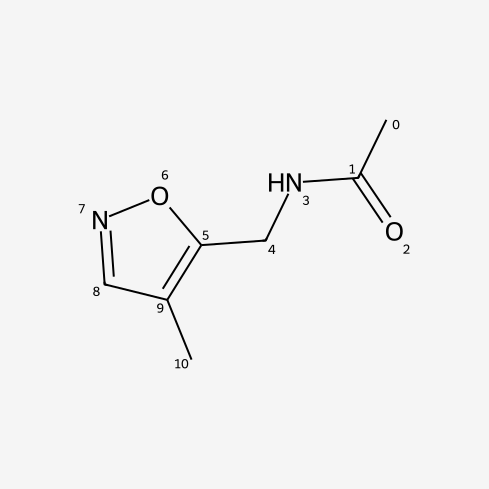 CC(=O)NCc1oncc1C